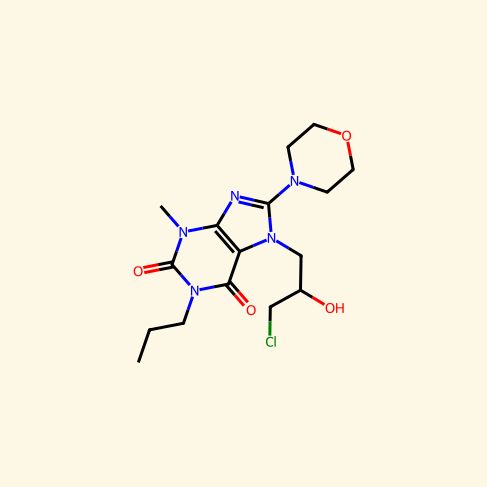 CCCn1c(=O)c2c(nc(N3CCOCC3)n2CC(O)CCl)n(C)c1=O